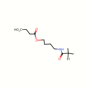 CCC(C)(C)C(=O)NCCCCOC(=O)CCC(=O)O